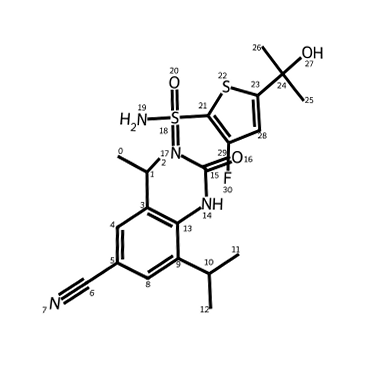 CC(C)c1cc(C#N)cc(C(C)C)c1NC(=O)N=S(N)(=O)c1sc(C(C)(C)O)cc1F